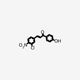 O=C(C=Cc1ccc([N+](=O)[O-])c(Cl)c1)c1ccc(O)cc1